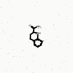 NC(=O)C1CCc2cc[c]cc2N1